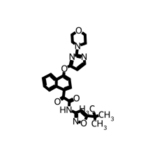 CC(C)(C)c1cc(NC(=O)C(=O)c2ccc(Oc3ccnc(N4CCOCC4)n3)c3ccccc23)no1